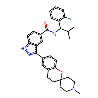 CC(C)C(NC(=O)c1ccc2[nH]nc(-c3ccc4c(c3)CCC3(CCN(C)CC3)O4)c2c1)c1ccccc1Cl